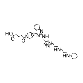 O=C(O)CCCC(=O)N1CCN(c2nc(NCc3cn(CCCNCCCNC4CCCCC4)nn3)nc3ccccc23)CC1